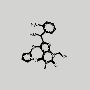 CC(C)Cn1c(=O)n(C)c(=O)c2c(Sc3cccs3)c(C(O)c3ccccc3C(F)(F)F)sc21